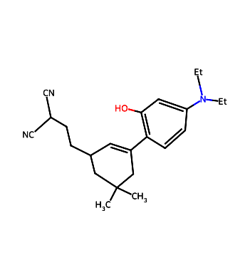 CCN(CC)c1ccc(C2=CC(CCC(C#N)C#N)CC(C)(C)C2)c(O)c1